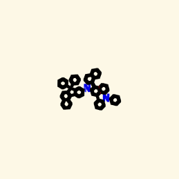 c1ccc(N(c2ccccc2)c2ccccc2-c2ccc3c4c5ccccc5ccc4n(-c4ccc5c(c4)C(c4ccccc4)(c4ccccc4)c4ccc6ccccc6c4-5)c3c2)cc1